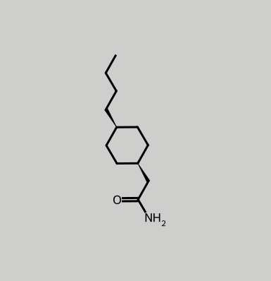 CCCC[C@H]1CC[C@@H](CC(N)=O)CC1